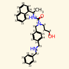 CC(NC(=O)N(CCCO)Cc1ccc(CNCc2ccccc2)cc1)c1cccc2ccccc12